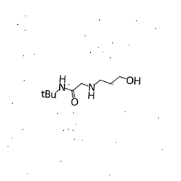 CC(C)(C)NC(=O)CNCCCO